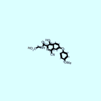 COc1ccc(Oc2ccc3c(O)c(C(=O)NCC(=O)O)nc(C#N)c3c2)cc1